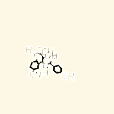 CC1(C)Oc2ccc(C#N)cc2[C@H](NC(=O)c2ccc(O)cc2)[C@H]1O